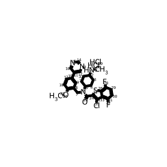 CNC1CCC(N(Cc2cc(-c3cncnc3)ccc2OC)C(=O)c2sc3c(F)ccc(F)c3c2Cl)CC1.Cl.Cl